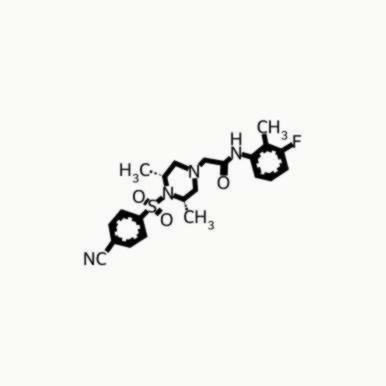 Cc1c(F)cccc1NC(=O)CN1C[C@@H](C)N(S(=O)(=O)c2ccc(C#N)cc2)[C@@H](C)C1